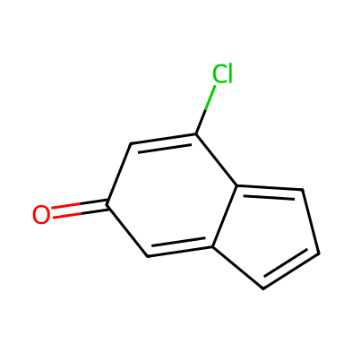 O=C1C=C(Cl)C2=CC=CC2=C1